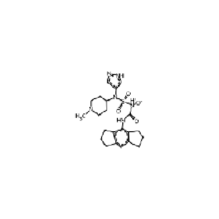 CN1CCC(N(c2cn[nH]c2)S(=O)(=O)[NH+]([O-])C(=O)Nc2c3c(cc4c2CCC4)CCC3)CC1